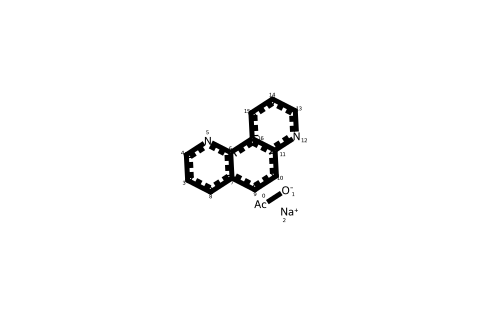 CC(=O)[O-].[Na+].c1cnc2c(c1)ccc1ncccc12